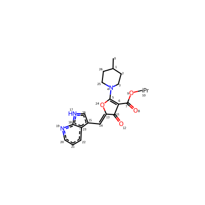 CC1CCN(C2=C(C(=O)OC(C)C)C(=O)C(=Cc3c[nH]c4ncccc34)O2)CC1